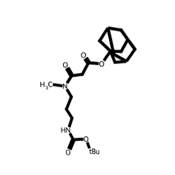 CN(CCCNC(=O)OC(C)(C)C)C(=O)CC(=O)OC12CC3CC(CC(C3)C1)C2